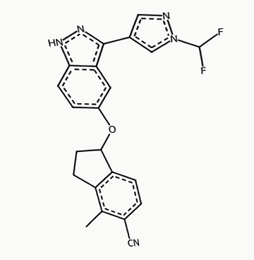 Cc1c(C#N)ccc2c1CCC2Oc1ccc2[nH]nc(-c3cnn(C(F)F)c3)c2c1